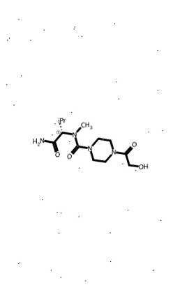 CC(C)[C@@H](C(N)=O)N(C)C(=O)N1CCN(C(=O)CO)CC1